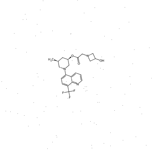 C[C@H]1C[C@@H](OC(=O)CN2CC(O)C2)CN(c2ccc(C(F)(F)F)c3ncccc23)C1